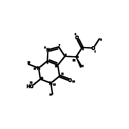 COC(=O)[C@@H](C)C1C=NC2=C1C(=O)N(C)C(O)N2C